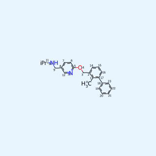 Cc1c(COc2ccc(CNC(C)C)cn2)cccc1-c1ccccc1